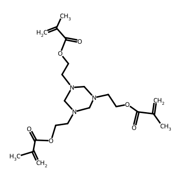 C=C(C)C(=O)OCCN1CN(CCOC(=O)C(=C)C)CN(CCOC(=O)C(=C)C)C1